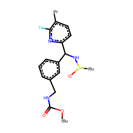 CC(C)c1ccc(C(N[S+]([O-])C(C)(C)C)c2cccc(CNC(=O)OC(C)(C)C)c2)nc1F